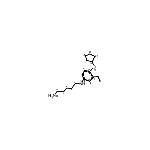 CCc1cc(NCCCCCN)ccc1OC1CCCC1